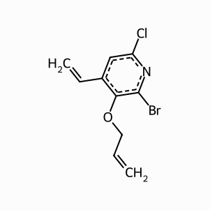 C=CCOc1c(C=C)cc(Cl)nc1Br